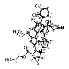 CCCOC(=O)N1[C@@H](c2cc3c(SC)nc4c(F)c(-c5cccc(Cl)c5Cl)c(CCC#N)cc4c3n2[C@H]2[C@@H]3C[C@H]2N(C(=O)OC(C)(C)C)C3)C[C@H]2C[C@H]21